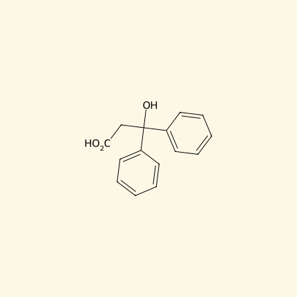 O=C(O)CC(O)(c1ccccc1)c1ccccc1